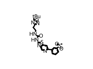 CC(C)(C)c1nc(CCNC(=O)Nc2nc3cnc(-c4cccc(S(C)(=O)=O)c4)cc3s2)no1